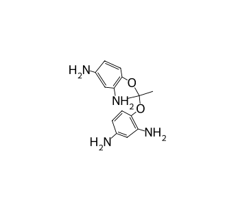 CC(C)(Oc1ccc(N)cc1N)Oc1ccc(N)cc1N